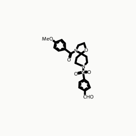 COc1ccc(C(=O)N2CCOC23CCN(S(=O)(=O)c2ccc(C=O)cc2)CC3)cc1